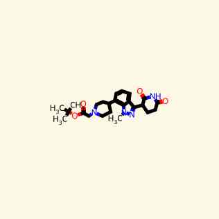 Cn1nc(C2CCC(=O)NC2=O)c2cccc(C3CCN(CC(=O)OC(C)(C)C)CC3)c21